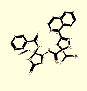 CC(C)[C@@]1(C(=O)N[C@H]2CC(=O)O[C@@]2(CF)OC(=O)c2ccccc2)CC(c2nccc3ccccc23)=NO1